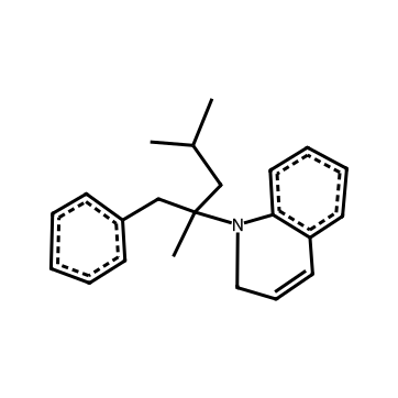 CC(C)CC(C)(Cc1ccccc1)N1CC=Cc2ccccc21